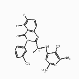 C[C@H](Nc1nc(N)nc(N)c1C#N)c1nc2ccc(F)c(Cl)c2c(=O)n1-c1cccc(C#N)c1